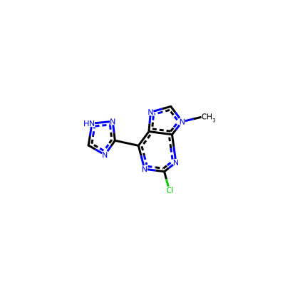 Cn1cnc2c(-c3nc[nH]n3)nc(Cl)nc21